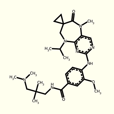 COc1cc(C(=O)NCC(C)(C)CN(C)C)ccc1Nc1ncc2c(n1)N(C(C)C)CC1(CC1)C(=O)N2C